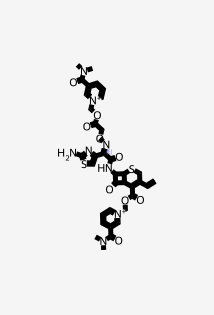 C=CC1=C(C(=O)OC[n+]2cccc(C(=O)N(C)C)c2)C2C(=O)C(NC(=O)/C(=N/OCC(=O)OC[n+]3cccc(C(=O)N(C)C)c3)c3csc(N)n3)C2SC1